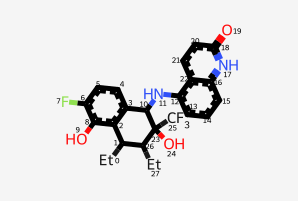 CCC1c2c(ccc(F)c2O)C(Nc2cccc3[nH]c(=O)ccc23)C(O)(C(F)(F)F)C1CC